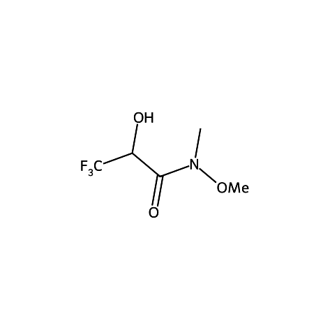 CON(C)C(=O)C(O)C(F)(F)F